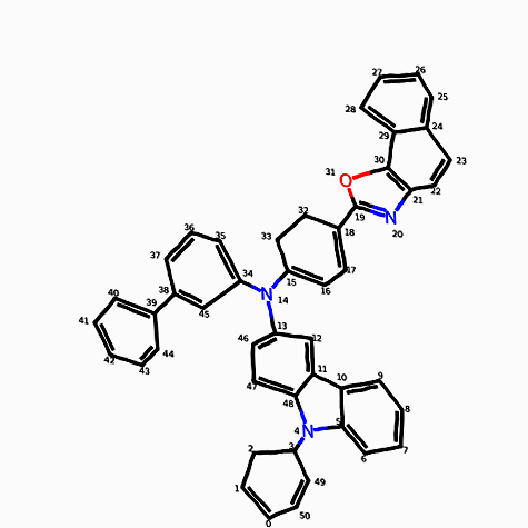 C1=CCC(n2c3ccccc3c3cc(N(C4=CC=C(c5nc6ccc7ccccc7c6o5)CC4)c4cccc(-c5ccccc5)c4)ccc32)C=C1